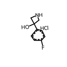 Cl.OC1(c2ccc(F)cc2)CNC1